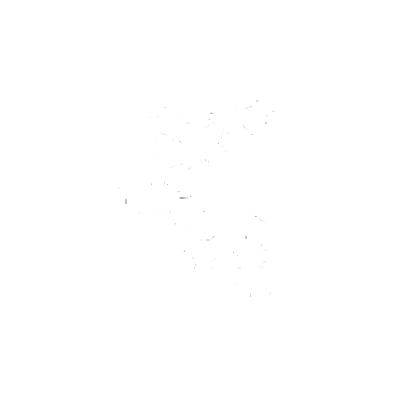 N[C@]1(c2cccc(-n3c4ccccc4c4cc(-c5cccc(-n6c7ccccc7c7ccccc76)c5)ccc43)c2)N=C(c2ccccc2)N=C1c1ccccc1